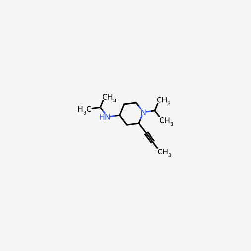 CC#CC1CC(NC(C)C)CCN1C(C)C